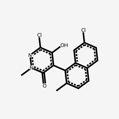 Cc1ccc2ccc(Cl)cc2c1-c1c(O)c(Cl)nn(C)c1=O